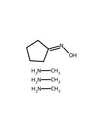 CN.CN.CN.ON=C1CCCC1